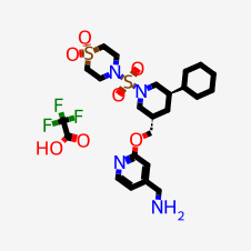 NCc1ccnc(OC[C@H]2C[C@H](C3CCCCC3)CN(S(=O)(=O)N3CCS(=O)(=O)CC3)C2)c1.O=C(O)C(F)(F)F